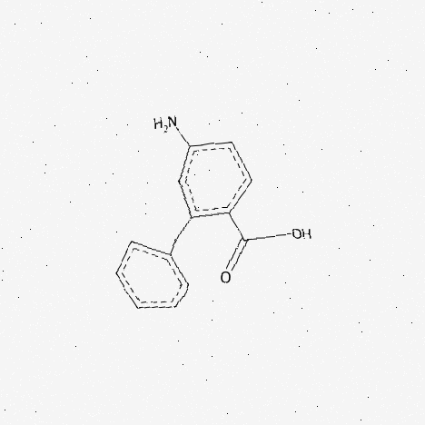 Nc1ccc(C(=O)O)c(-c2ccccc2)c1